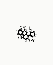 CC(C)c1cccc(CC(C)c2cc(C(F)(F)F)ccc2C(F)(F)F)c1-c1ccccc1